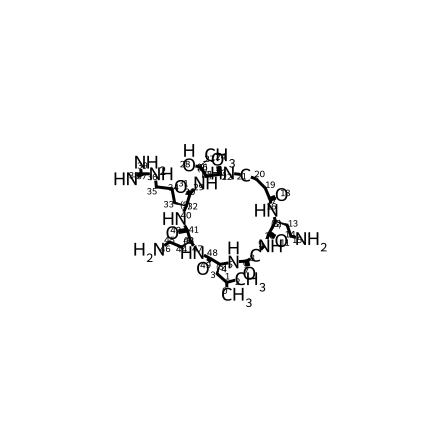 CC(C)C[C@@H]1NC(=O)CNC(=O)[C@H](CCN)NC(=O)CCCNC(=O)[C@H]([C@@H](C)O)NC(=O)[C@H](CCCNC(=N)N)NC(=O)[C@H](CCN)NC1=O